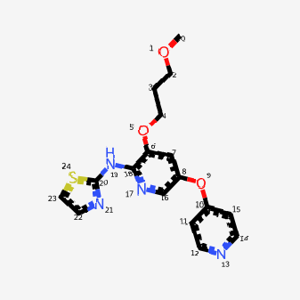 COCCCOc1cc(Oc2ccncc2)cnc1Nc1nccs1